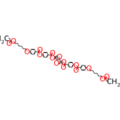 C=CC(=O)OCCCCCCOc1ccc(C(=O)Oc2ccc(C(=O)O[C@H]3COC4C3OC[C@H]4OC(=O)c3ccc(OC(=O)c4ccc(OCCCCCCOC(=O)C=C)cc4)cc3)cc2)cc1